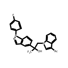 CC(=O)c1cn(CC(O)(c2ccc3c(cnn3-c3ccc(F)cc3)c2)C(F)(F)F)c2ccccc12